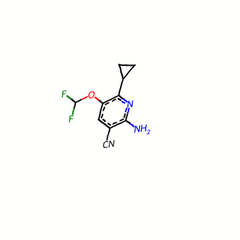 N#Cc1cc(OC(F)F)c(C2CC2)nc1N